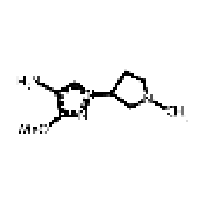 COc1nn(C2CCN(C)C2)cc1N